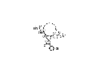 CNC(=O)C(=O)[C@@H]1CCCCCCCOC[C@H](NC(=O)OC(C)(C)C)C(=O)N2C[C@@]3(C[C@H]2C(=O)N1)CN(c1cccc(Cl)c1)C(=O)O3